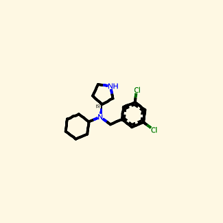 Clc1cc(Cl)cc(CN(C2CCCCC2)[C@H]2CCNC2)c1